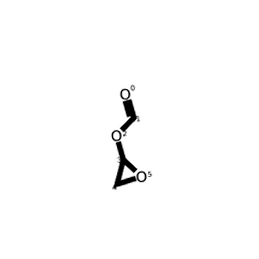 O=[C]OC1CO1